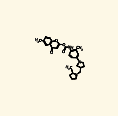 Cc1ccc2oc(OC(=O)Nc3ccc(N4CCC(CN5CCCC5C)C4)cc3C)cc(=O)c2c1